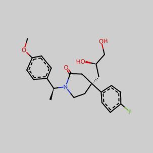 COc1ccc([C@H](C)N2CC[C@](C[C@@H](O)CO)(c3ccc(F)cc3)CC2=O)cc1